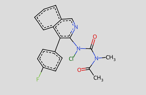 CC(=O)N(C)C(=O)N(Cl)c1ncc2ccccc2c1-c1ccc(F)cc1